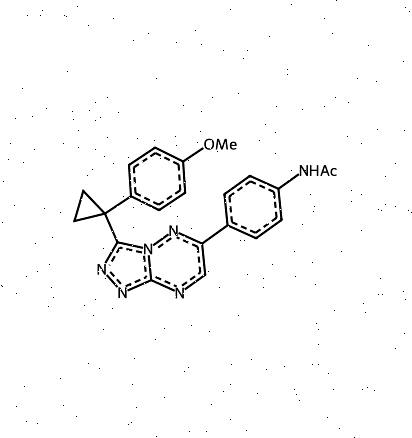 COc1ccc(C2(c3nnc4ncc(-c5ccc(NC(C)=O)cc5)nn34)CC2)cc1